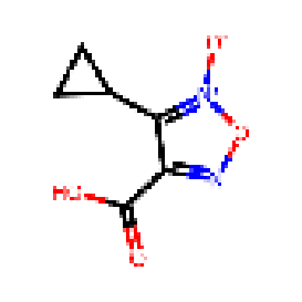 O=C(O)c1no[n+]([O-])c1C1CC1